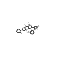 CCc1cccc(CC)c1-n1c(-c2cnn(CC)c2)nc(=O)c(C(=O)N2CCC(c3ccccc3F)C2)c1O